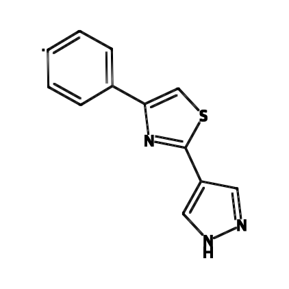 [c]1ccc(-c2csc(-c3cn[nH]c3)n2)cc1